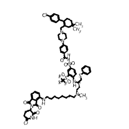 CN(CCCCCCCCNc1cccc2c1C(=O)N(C1CCC(=O)NC1=O)C2=O)CC[C@H](CSc1ccccc1)Nc1ccc(S(=O)(=O)NC(=O)c2ccc(N3CCN(CC4=C(c5ccc(Cl)cc5)CCC(C)(C)C4)CC3)cc2)cc1S(=O)(=O)C(F)(F)F